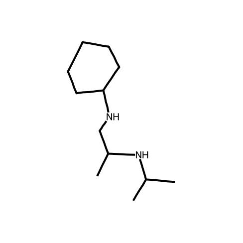 CC(C)NC(C)CNC1CCCCC1